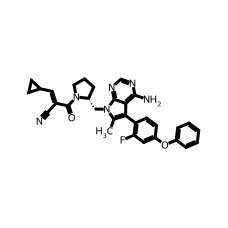 Cc1c(-c2ccc(Oc3ccccc3)cc2F)c2c(N)ncnc2n1C[C@H]1CCCN1C(=O)/C(C#N)=C/C1CC1